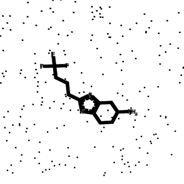 NC1CCc2nc(CCCC(F)(F)F)sc2C1